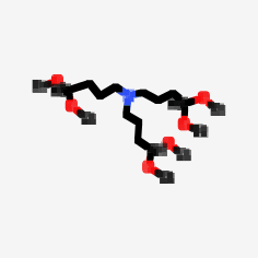 CCO[SiH](CCCN(CCC[SiH](OCC)OCC)CCC[SiH](OCC)OCC)OCC